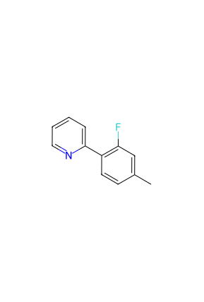 Cc1ccc(-c2ccccn2)c(F)c1